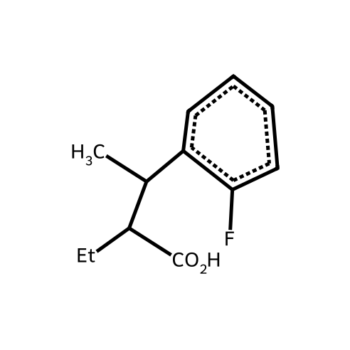 CCC(C(=O)O)C(C)c1ccccc1F